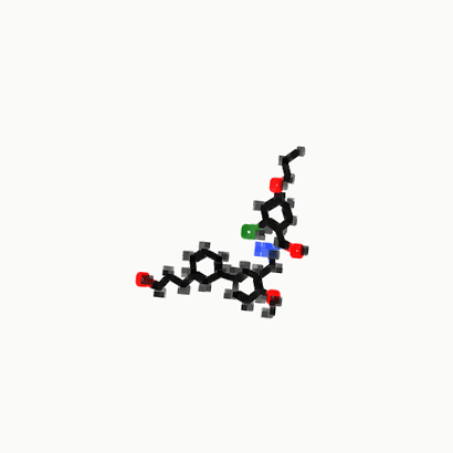 CCCOc1ccc(C(=O)NCc2cc(-c3cccc(CCC=O)c3)ccc2OC)c(Cl)c1